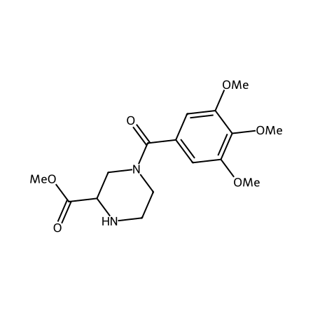 COC(=O)C1CN(C(=O)c2cc(OC)c(OC)c(OC)c2)CCN1